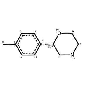 Cc1ccc([C@H]2C[N]CCO2)cc1